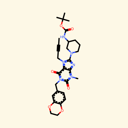 CC#CCn1c(N2CCCC(NC(=O)OC(C)(C)C)C2)nc2c1c(=O)n(Cc1ccc3c(c1)OCCO3)c(=O)n2C